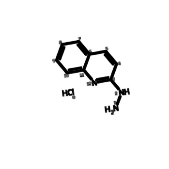 Cl.NNc1ccc2ccccc2n1